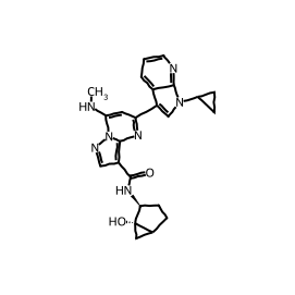 CNc1cc(-c2cn(C3CC3)c3ncccc23)nc2c(C(=O)N[C@H]3CCC4C[C@]43O)cnn12